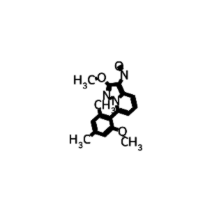 COc1cc(C)cc(C)c1-c1cccc2c(N=O)c(OC)nn12